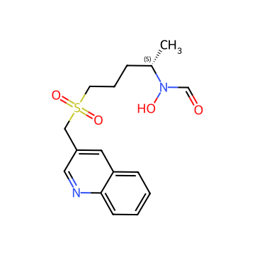 C[C@@H](CCCS(=O)(=O)Cc1cnc2ccccc2c1)N(O)C=O